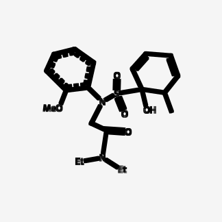 CCN(CC)C(=O)CN(c1ccccc1OC)S(=O)(=O)C1(O)C=CC=CC1C